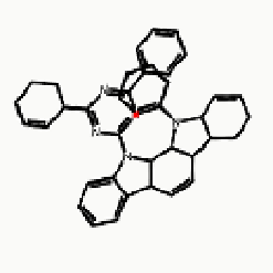 C1=CC(c2nc(-c3ccccc3)nc(N3c4ccccc4C4C=CC5C6CCC=CC6N(C6=CCCCC6)C5C43)n2)CCC1